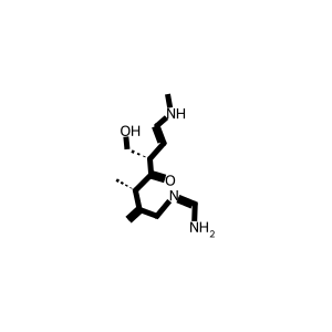 C=C(C/N=C\N)[C@H](C)C(=O)[C@@H](/C=C/NC)CO